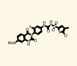 CNc1ccc2c(=O)n(-c3ccc(NC(=O)NS(=O)(=O)c4cc(C)c(Cl)s4)cc3F)c(=O)[nH]c2c1